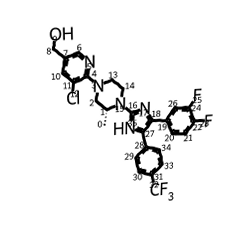 C[C@@H]1CN(c2ncc(CO)cc2Cl)CCN1c1nc(-c2ccc(F)c(F)c2)c(-c2ccc(C(F)(F)F)cc2)[nH]1